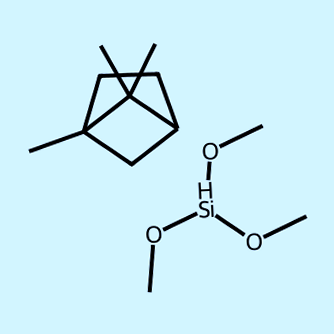 CC12CCC(C1)C2(C)C.CO[SiH](OC)OC